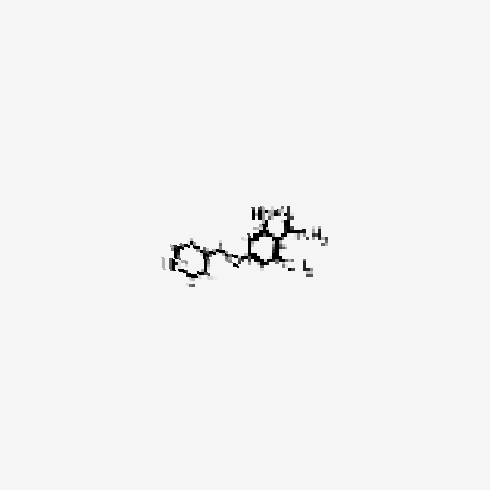 Cc1cc(OCC2CCNCC2)cc2[nH]nc(N)c12